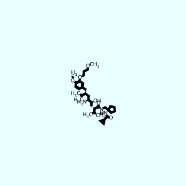 COCCCOc1cc(C[C@@H](C[C@H](N)[C@@H](O)C[C@H](C(=O)NCC2(NC(=O)C3CC3)CCCC2)C(C)C)C(C)C)ccc1OC